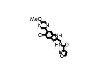 COc1cnc(-c2cc3[nH]c(CNC(=O)c4ccon4)cc3cc2Cl)cn1